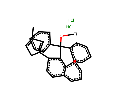 CC1=CCC(c2ccc3ccccc3c2C([O][Ti])(c2ccccc2)c2ccccc2)=C1.Cl.Cl